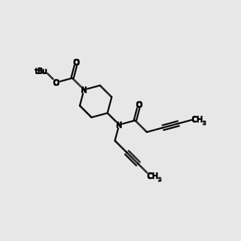 CC#CCC(=O)N(CC#CC)C1CCN(C(=O)OC(C)(C)C)CC1